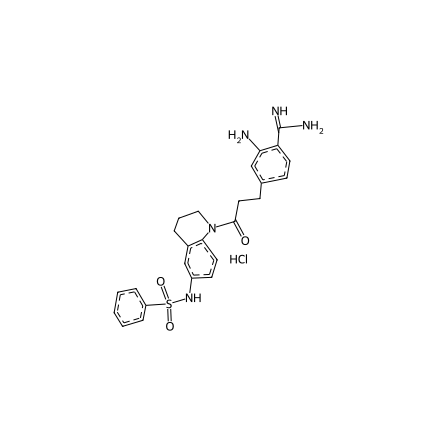 Cl.N=C(N)c1ccc(CCC(=O)N2CCCc3cc(NS(=O)(=O)c4ccccc4)ccc32)cc1N